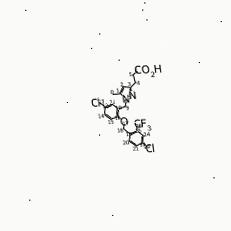 Cc1cc(CCC(=O)O)nn1Cc1cc(Cl)ccc1OCc1ccc(Cl)cc1C(F)(F)F